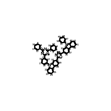 c1ccc(-c2nc(-c3ccccc3)nc(-c3cccc(-n4c5ccccc5c5ccc(-c6nnc(-c7ccc8c9ccccc9n(-c9ccccc9)c8c7)o6)cc54)c3)n2)cc1